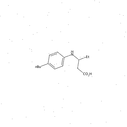 CCCCc1ccc(NC(CC)CC(=O)O)cc1